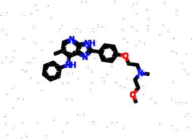 COCCN(C)CCOc1ccc(-c2nc3c(Nc4ccccc4)c(C)cnc3[nH]2)cc1